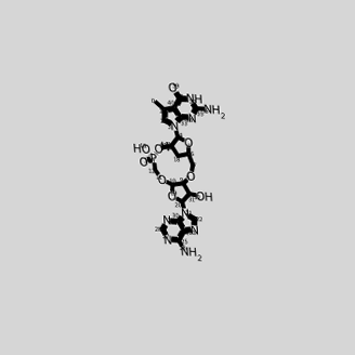 Cc1cn(C2OC3COC4C(OCP(=O)(O)O[C@H]2C3)OC(n2cnc3c(N)ncnc32)C4O)c2nc(N)[nH]c(=O)c12